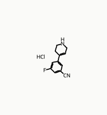 Cl.N#Cc1cc(F)cc(C2=CCNCC2)c1